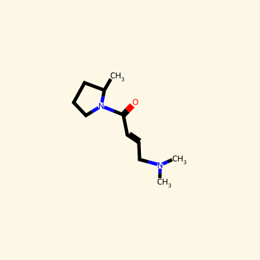 CC1CCCN1C(=O)/C=C/CN(C)C